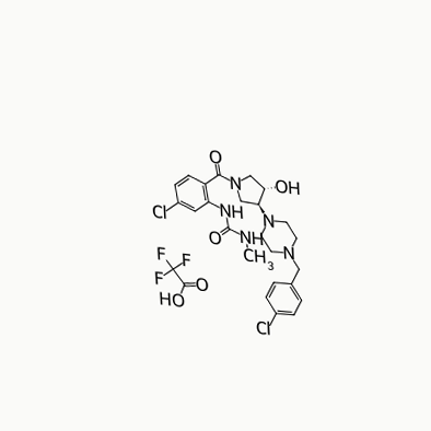 CNC(=O)Nc1cc(Cl)ccc1C(=O)N1C[C@H](O)[C@@H](N2CCN(Cc3ccc(Cl)cc3)CC2)C1.O=C(O)C(F)(F)F